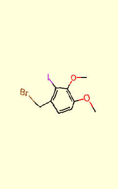 COc1ccc(CBr)c(I)c1OC